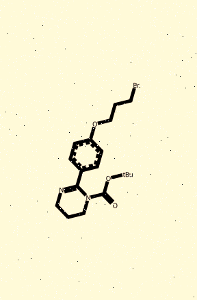 CC(C)(C)OC(=O)N1CCCN=C1c1ccc(OCCCBr)cc1